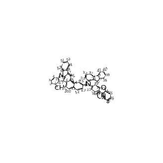 CC1CC=Cc2c1c1c3ccc4ccc(N(C5=CCC6(C)C(=C5)Oc5ccccc56)c5cccc6c5Cc5ccccc5-6)cc4c3cc3c4ccccc4n2c31